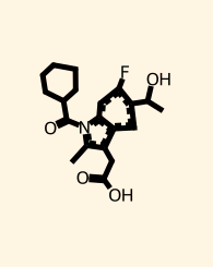 Cc1c(CC(=O)O)c2cc(C(C)O)c(F)cc2n1C(=O)C1CCCCC1